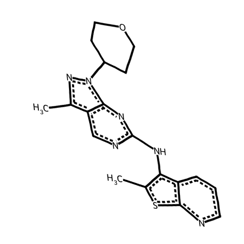 Cc1sc2ncccc2c1Nc1ncc2c(C)nn(C3CCOCC3)c2n1